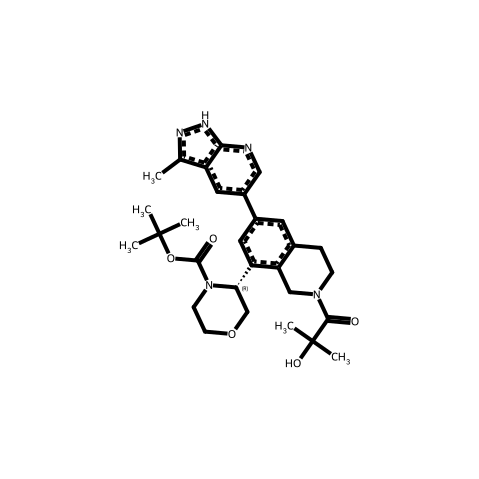 Cc1n[nH]c2ncc(-c3cc4c(c([C@@H]5COCCN5C(=O)OC(C)(C)C)c3)CN(C(=O)C(C)(C)O)CC4)cc12